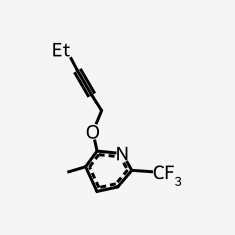 CCC#CCOc1nc(C(F)(F)F)ccc1C